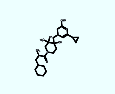 C[C@H](CC1CCCCC1)C(=O)N1CCC(O)(CN2C=C(C3CC3)N=C(C=O)C2)C(C)(C)C1